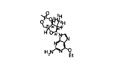 [2H]C([2H])([2H])[C@@]1(F)[C@@H]2OP(C)(=O)OC[C@H]2O[C@H]1n1cnc2c(OCC)nc(N)nc21